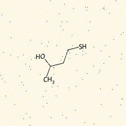 CC(O)CCS